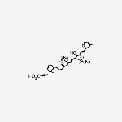 C=C(CC(/C=C/C[C@H](O)[C@H](/C=C/[C@@H]1CC(C)=CCO1)O[Si](C)(C)C(C)(C)C)O[Si](C)(C)C(C)(C)C)C[C@H](C)C[C@@H]1CC=C[C@@H](CC#CC(=O)O)O1